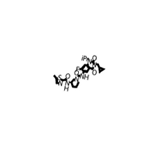 Cc1cnc(C(=O)N[C@@H]2CCCN(C(=O)Nc3cc4c(=O)n(CC5CC5)c(=O)n(C(C)C)c4cc3F)C2)s1